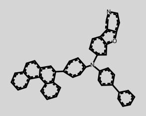 c1ccc(-c2ccc(N(c3ccc(-c4cc5ccc6ccccc6c5c5ccccc45)cc3)c3ccc4c(c3)oc3ccncc34)cc2)cc1